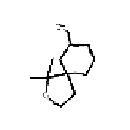 CC(C)C1CCCC2(CCOC2(C)C)C1